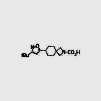 CC(C)(C)c1cc(C2CCC3(CC2)CN(C(=O)O)C3)on1